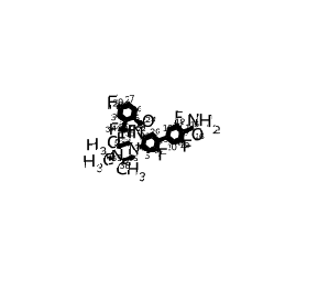 C[C@@H]1CN(c2cc(F)c(-c3cc(F)c(C(N)=O)c(F)c3)cc2NC(=O)c2ccc(F)cc2C(F)(F)F)C[C@H](C)N1C